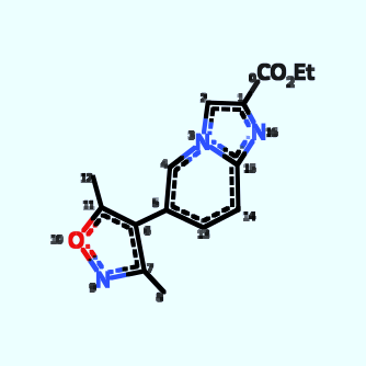 CCOC(=O)c1cn2cc(-c3c(C)noc3C)ccc2n1